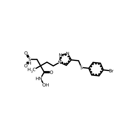 CC(CCn1cc(CSc2ccc(Br)cc2)nn1)(C[SH](=O)=O)C(=O)NO